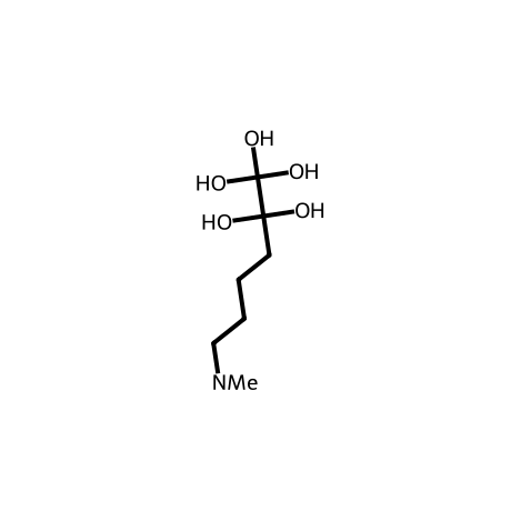 CNCCCCC(O)(O)C(O)(O)O